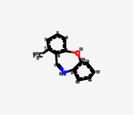 FC(F)(F)c1cccc2c1C=Nc1ccccc1O2